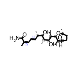 C/C(=C/C=C/[C@H](C)[C@H](O)[C@@H](C)[C@@H](O)[C@@H](C)[C@@H]1O[C@@]2(C)CC[C@@H](O2)[C@H]1C)C(N)=O